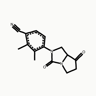 Cc1c(C#N)ccc(N2CC3C(=O)CCN3C2=O)c1C